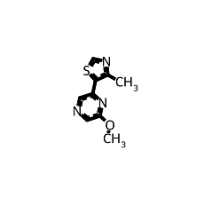 COc1cncc(-c2scnc2C)n1